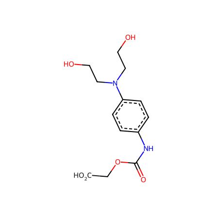 O=C(O)COC(=O)Nc1ccc(N(CCO)CCO)cc1